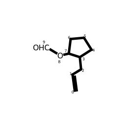 C=CCC1CCCC1OC=O